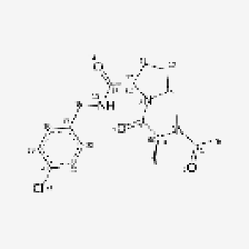 CC(=O)N[C@@H](C)C(=O)N1CCC[C@H]1C(=O)NCc1ccc(Cl)cc1